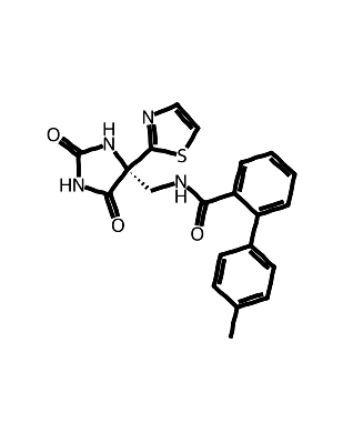 Cc1ccc(-c2ccccc2C(=O)NC[C@@]2(c3nccs3)NC(=O)NC2=O)cc1